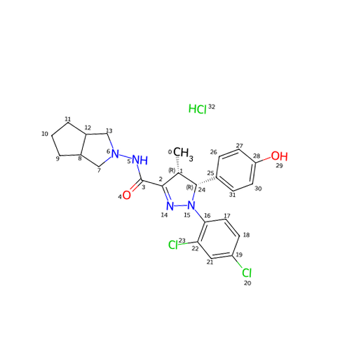 C[C@H]1C(C(=O)NN2CC3CCCC3C2)=NN(c2ccc(Cl)cc2Cl)[C@H]1c1ccc(O)cc1.Cl